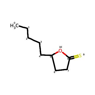 CCCCCC1CCC(=S)O1